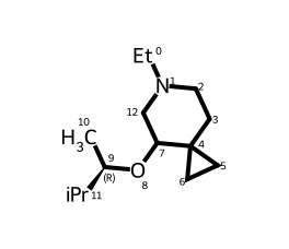 CCN1CCC2(CC2)C(O[C@H](C)C(C)C)C1